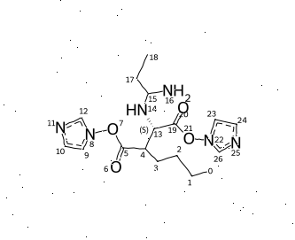 CCCCC(C(=O)On1ccnc1)[C@H](NC(N)CC)C(=O)On1ccnc1